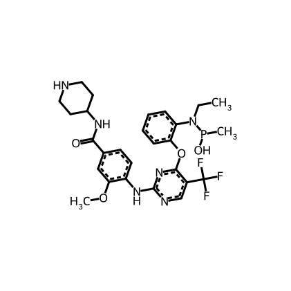 CCN(c1ccccc1Oc1nc(Nc2ccc(C(=O)NC3CCNCC3)cc2OC)ncc1C(F)(F)F)P(C)O